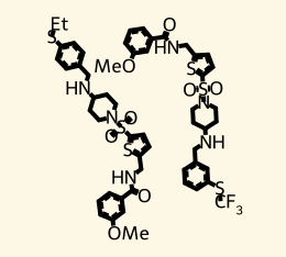 CCSc1ccc(CNC2CCN(S(=O)(=O)c3ccc(CNC(=O)c4cccc(OC)c4)s3)CC2)cc1.COc1cccc(C(=O)NCc2ccc(S(=O)(=O)N3CCC(NCc4cccc(SC(F)(F)F)c4)CC3)s2)c1